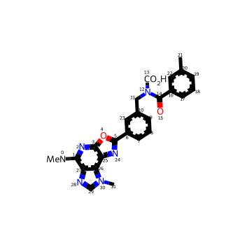 CNc1nc2oc(-c3cccc(CN(C(=O)O)C(=O)c4cccc(C)c4)c3)nc2c2c1ncn2C